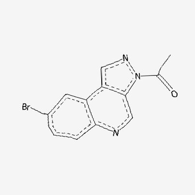 CC(=O)n1ncc2c3cc(Br)ccc3ncc21